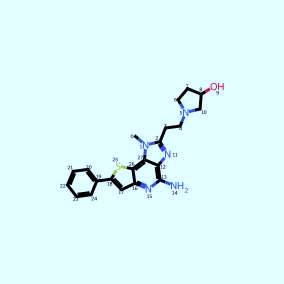 Cn1c(CCN2CCC(O)C2)nc2c(N)nc3cc(-c4ccccc4)sc3c21